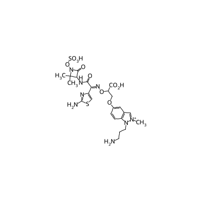 C[n+]1cc2cc(OCC(ON=C(C(=O)NC3C(=O)N(OS(=O)(=O)O)C3(C)C)c3csc(N)n3)C(=O)O)ccc2n1CCCN